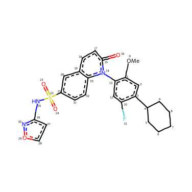 COc1cc(C2CCCCC2)c(F)cc1-n1c(=O)ccc2cc(S(=O)(=O)Nc3ccon3)ccc21